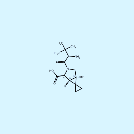 CC(C)(C)C(N)C(=O)N1C[C@H]2[C@@H]([C@H]1C(=O)O)C21CC1